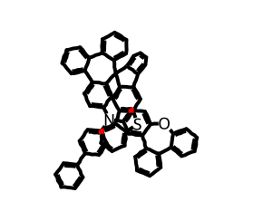 c1ccc(-c2ccc(N(c3ccc4c(c3)-c3ccccc3-c3ccccc3O4)c3ccc4c(c3)C3(c5ccccc5-c5ccccc5-4)c4ccccc4-c4cc5sc6ccccc6c5cc43)cc2)cc1